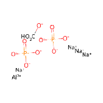 O=C([O-])O.O=P([O-])([O-])[O-].O=P([O-])([O-])[O-].[Al+3].[Na+].[Na+].[Na+].[Na+]